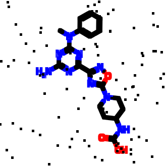 CN(c1ccccc1)c1nc(N)nc(-c2noc(N3CCC(NC(=O)O)CC3)n2)n1